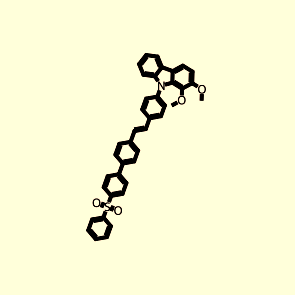 COc1ccc2c3ccccc3n(-c3ccc(C=Cc4ccc(-c5ccc(S(=O)(=O)c6ccccc6)cc5)cc4)cc3)c2c1OC